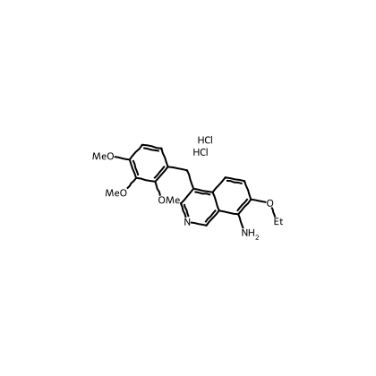 CCOc1ccc2c(Cc3ccc(OC)c(OC)c3OC)cncc2c1N.Cl.Cl